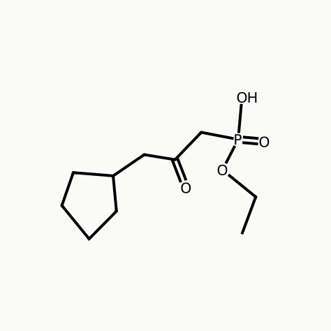 CCOP(=O)(O)CC(=O)CC1CCCC1